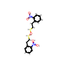 O=[N+]([O-])c1ccccc1CCSOSCCc1ccccc1[N+](=O)[O-]